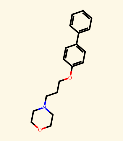 [c]1ccc(-c2ccc(OCCCN3CCOCC3)cc2)cc1